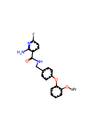 CCCOc1ccccc1Oc1ccc(CNC(=O)c2ccc(F)nc2N)cc1